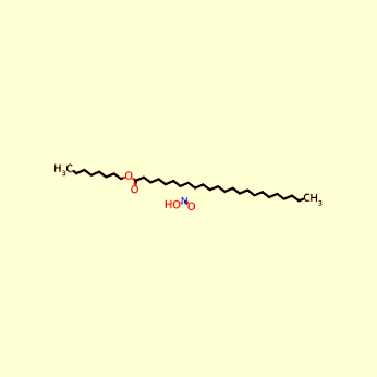 CCCCCCCCCCCCCCCCCCCCCCCC(=O)OCCCCCCCC.O=NO